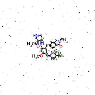 COc1cc(C(=O)N[C@H]2CCNC[C@@H]2OC)c(C)cc1Nc1ncc(C(F)(F)F)c(Oc2cccc3c2C(=O)N(C)C3)n1